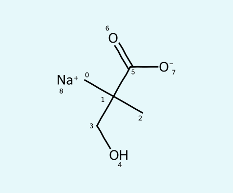 CC(C)(CO)C(=O)[O-].[Na+]